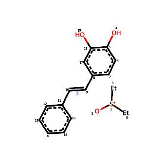 CC[S+]([O-])CC.Oc1ccc(/C=C/c2ccccc2)cc1O